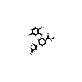 COC(=O)N1CC[C@H](c2cc(=O)[nH]o2)C[C@H]1Cc1cc(F)ccc1F